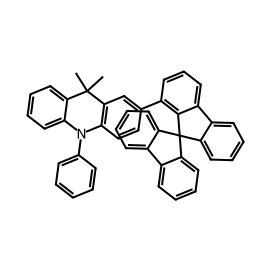 CC1(C)c2ccccc2N(c2ccccc2)c2ccc(-c3cccc4c3C3(c5ccccc5-c5ccccc53)c3ccccc3-4)cc21